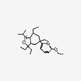 CCOc1cccc(C2(CC)CC(CC)C3C(C2)C(CC)(CC)ON3C(C)C)n1